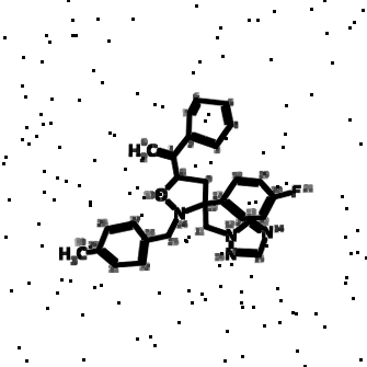 C=C(c1ccccc1)C1CC(Cn2cncn2)(c2ccc(F)cc2)N(Cc2ccc(C)cc2)O1